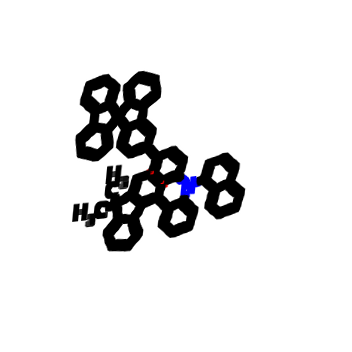 CC1(C)c2ccccc2-c2c(-c3ccccc3N(c3ccc(-c4ccc5c(c4)-c4ccccc4C54c5ccccc5-c5ccccc54)cc3)c3cccc4ccccc34)cccc21